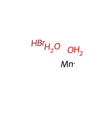 Br.O.O.[Mn]